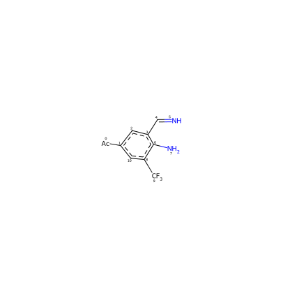 CC(=O)c1cc(C=N)c(N)c(C(F)(F)F)c1